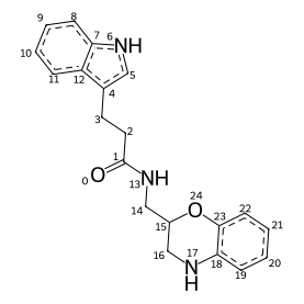 O=C(CCc1c[nH]c2ccccc12)NCC1CNc2ccccc2O1